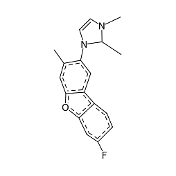 Cc1cc2oc3cc(F)ccc3c2cc1N1C=CN(C)C1C